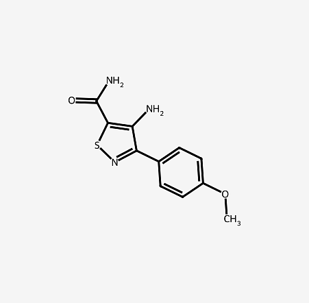 COc1ccc(-c2nsc(C(N)=O)c2N)cc1